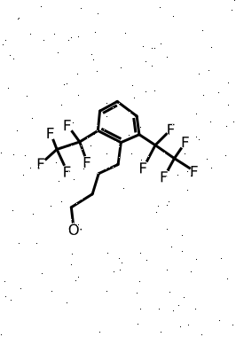 [O]CCCCc1c(C(F)(F)C(F)(F)F)cccc1C(F)(F)C(F)(F)F